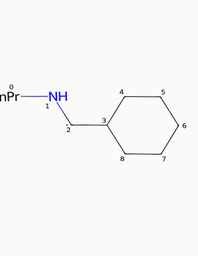 CCCN[CH]C1CCCCC1